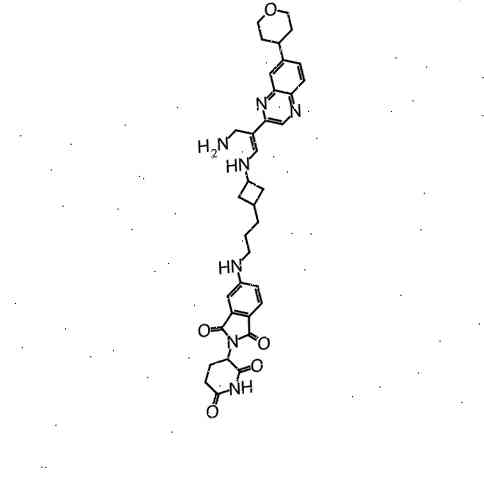 NC/C(=C\NC1CC(CCCNc2ccc3c(c2)C(=O)N(C2CCC(=O)NC2=O)C3=O)C1)c1cnc2ccc(C3CCOCC3)cc2n1